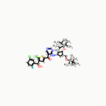 CC(C)[Si](O[C@H]1C[C@H](Nc2ncncc2C(=O)c2cc(C(O)c3cc(Cl)ccc3F)c(Cl)s2)C[C@@H]1CO[Si](C)(C)C(C)(C)C)(C(C)C)C(C)C